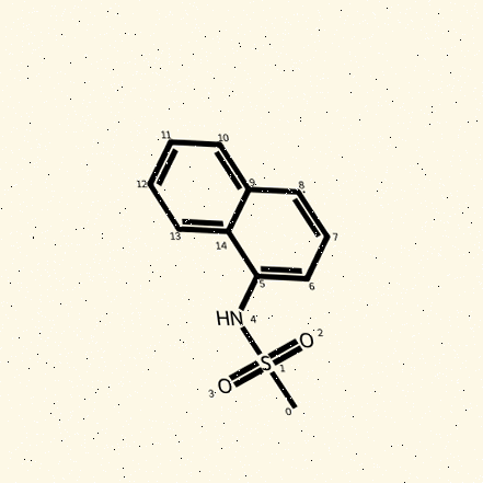 CS(=O)(=O)Nc1cc[c]c2ccccc12